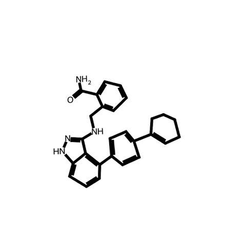 NC(=O)c1ccccc1CNc1n[nH]c2cccc(-c3ccc(C4=CCCCC4)cc3)c12